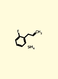 C=CCc1ccccc1F.[SiH4]